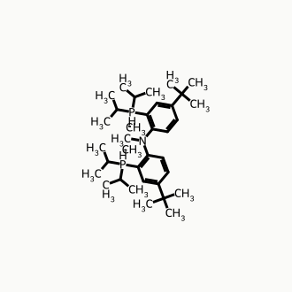 CC(C)[PH](C)(c1cc(C(C)(C)C)ccc1N(C)c1ccc(C(C)(C)C)cc1[PH](C)(C(C)C)C(C)C)C(C)C